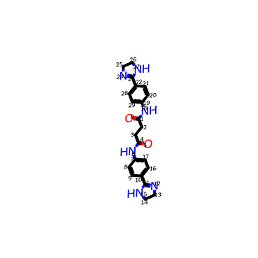 O=C(CCC(=O)Nc1ccc(C2=NCCN2)cc1)Nc1ccc(C2=NCCN2)cc1